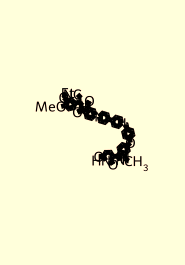 CCOc1cc([C@@H](CC#N)N2C(=O)c3ccc(N4CCC(C5CCN(Cc6ccc(Oc7ccc8c(C9CCC(=O)NC9=O)nn(C)c8c7)cc6)CC5)CC4)cc3C2=O)ccc1OC